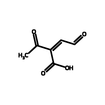 CC(=O)C(=CC=O)C(=O)O